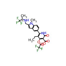 CCc1c(-c2ccc3c(c2)cc(CN[C@H](C)C(F)(F)F)n3C)[nH]c(=O)c(C(=O)O)c1OC(=O)C(F)(F)F